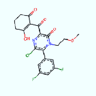 COCCn1c(-c2cc(F)cc(F)c2)c(Cl)nc(C(=O)C2=C(O)CCCC2=O)c1=O